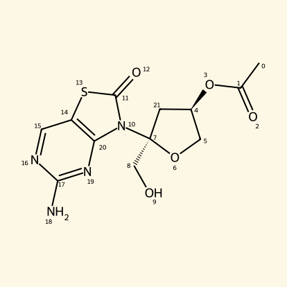 CC(=O)O[C@H]1CO[C@@](CO)(n2c(=O)sc3cnc(N)nc32)C1